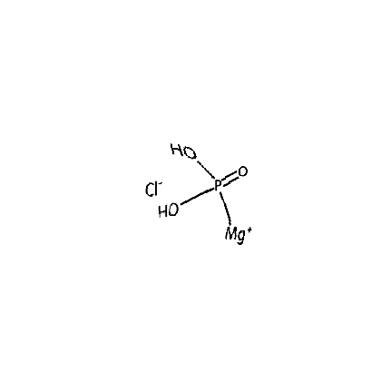 O=[P](O)(O)[Mg+].[Cl-]